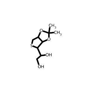 CC1(C)OC2CSC(C(O)CO)C2O1